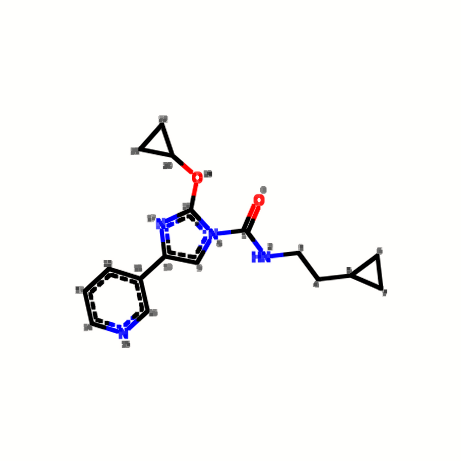 O=C(NCCC1CC1)n1cc(-c2cccnc2)nc1OC1CC1